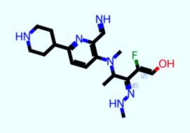 CN/N=C(/C(F)=C/O)C(C)N(C)c1ccc(C2CCNCC2)nc1C=N